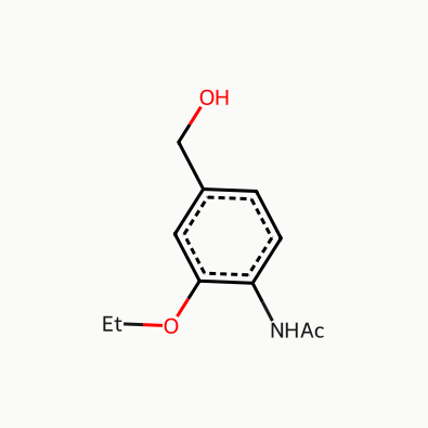 CCOc1cc(CO)ccc1NC(C)=O